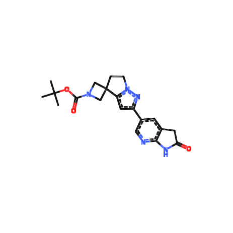 CC(C)(C)OC(=O)N1CC2(CCn3nc(-c4cnc5c(c4)CC(=O)N5)cc32)C1